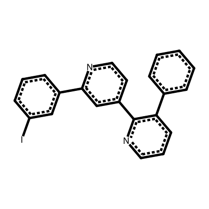 Ic1cccc(-c2cc(-c3ncccc3-c3ccccc3)ccn2)c1